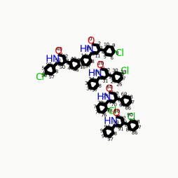 O=c1cc(-c2ccc(Cl)cc2)cc(-c2ccccc2)[nH]1.O=c1cc(-c2cccc(Cl)c2)cc(-c2ccccc2)[nH]1.O=c1cc(-c2ccccc2)cc(-c2ccc(Cl)cc2)[nH]1.O=c1cc(-c2ccccc2)cc(-c2ccccc2Cl)[nH]1.O=c1cc(-c2ccccc2Cl)cc(-c2ccccc2)[nH]1